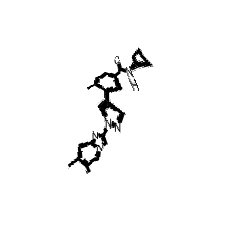 Cc1cc2nc(-n3cc(-c4cc(C(=O)NC5CC5)ccc4C)cn3)cn2cc1C